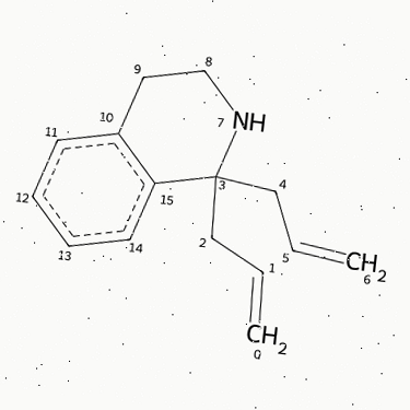 C=CCC1(CC=C)NCCc2ccccc21